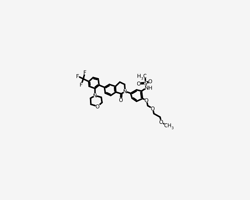 COCCOCOc1ccc(N2CCc3cc(-c4ccc(C(F)(F)F)cc4N4CCOCC4)ccc3C2=O)cc1NS(C)(=O)=O